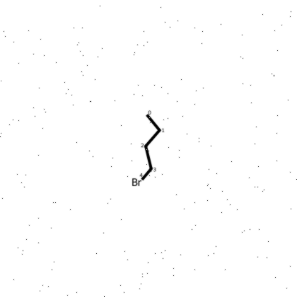 CCC[CH]Br